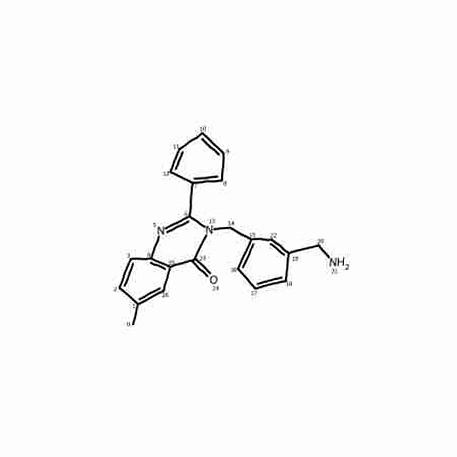 Cc1ccc2nc(-c3ccccc3)n(Cc3cccc(CN)c3)c(=O)c2c1